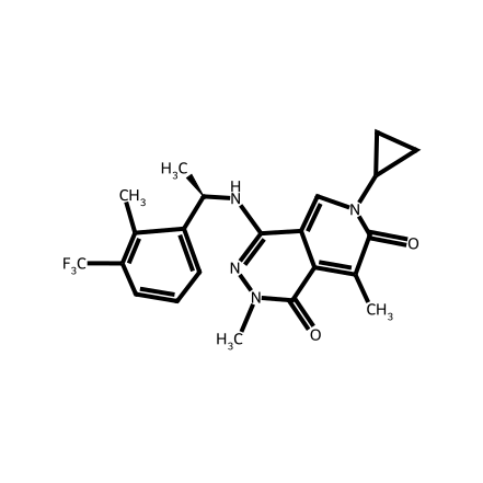 Cc1c([C@@H](C)Nc2nn(C)c(=O)c3c(C)c(=O)n(C4CC4)cc23)cccc1C(F)(F)F